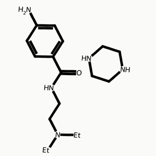 C1CNCCN1.CCN(CC)CCNC(=O)c1ccc(N)cc1